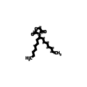 CCCCCCCC(CCCCCCC)N1C(=O)COC1=O